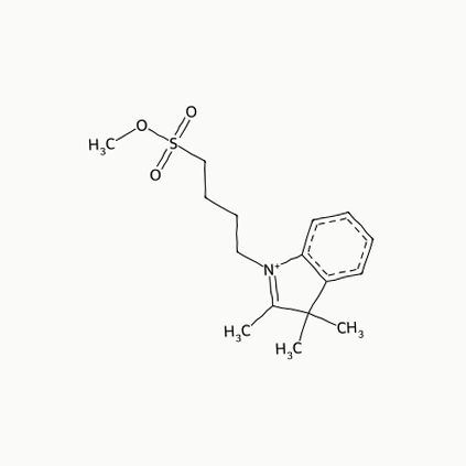 COS(=O)(=O)CCCC[N+]1=C(C)C(C)(C)c2ccccc21